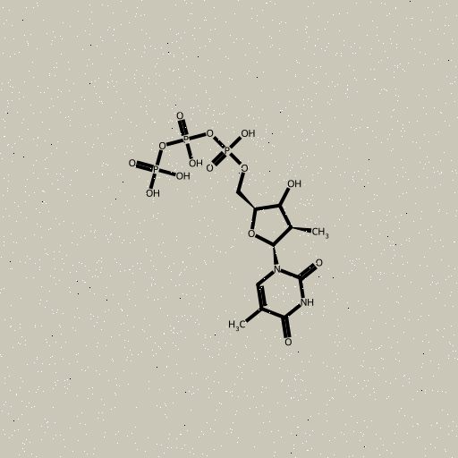 Cc1cn([C@H]2O[C@@H](COP(=O)(O)OP(=O)(O)OP(=O)(O)O)C(O)[C@H]2C)c(=O)[nH]c1=O